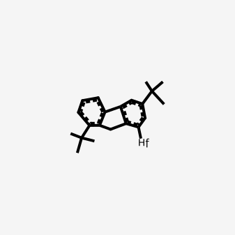 CC(C)(C)c1c[c]([Hf])c2c(c1)-c1cccc(C(C)(C)C)c1C2